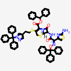 Nc1nc(/C(=N/OC(c2ccccc2)(c2ccccc2)c2ccccc2)C(=O)N[C@@H]2C(=O)N3C(C(=O)OC(c4ccccc4)c4ccccc4)=C(SCCc4cnn(C(c5ccccc5)(c5ccccc5)c5ccccc5)c4)CS[C@@H]23)cs1